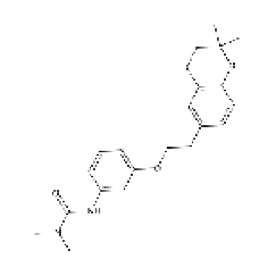 CN(C)C(=O)Nc1cccc(OCCc2ccc3c(c2)CCC(C)(C)O3)c1